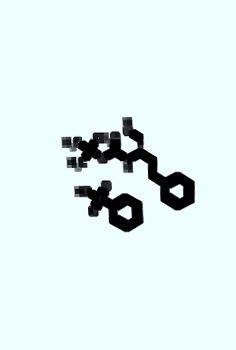 CC(C)(C)OC(=O)N[C@H](CO)CCc1ccccc1.O=S(=O)(O)c1ccccc1